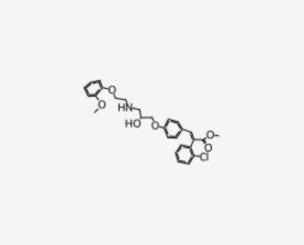 COC(=O)/C(=C/c1ccc(OCC(O)CNCCOc2ccccc2OC)cc1)c1ccccc1Cl